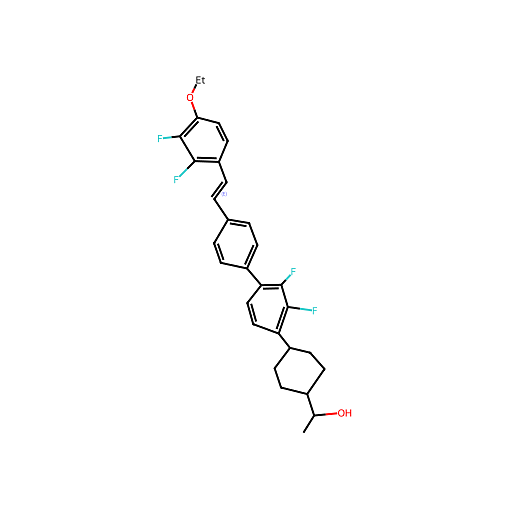 CCOc1ccc(/C=C/c2ccc(-c3ccc(C4CCC(C(C)O)CC4)c(F)c3F)cc2)c(F)c1F